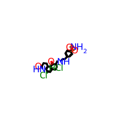 Cl.NS(=O)(=O)c1ccc(CCNCC2CCc3cc(Cl)c4c(c3C2=O)CCC(=O)N4)cc1